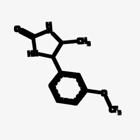 CC1NC(=O)NC1c1cccc(OC(F)(F)F)c1